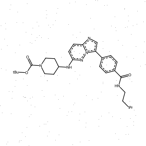 CC(C)CCNC(=O)c1ccc(-c2cnc3ccc(NC4CCN(C(=O)OC(C)(C)C)CC4)nn23)cc1